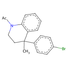 CC(=O)N1CCC(C)(c2ccc(Br)cc2)c2ccccc21